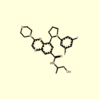 CC(CO)NC(=O)c1cc(C2CCCN2c2cc(F)cc(F)c2)c2nc(N3CCOCC3)cnc2c1